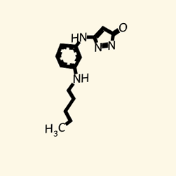 CCCCCNc1cccc(NC2=CC(=O)N=N2)c1